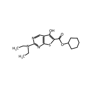 CCN(CC)c1ncc2c(O)c(C(=O)OC3CCCCC3)sc2n1